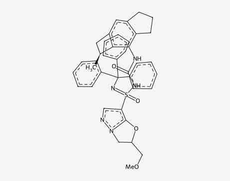 COCC1Cn2ncc(S(=O)(=NC(c3ccccc3)(c3ccccc3)c3ccccc3)NC(=O)Nc3c4c(cc5c3[C@@H](C)C5)CCC4)c2O1